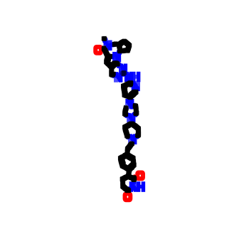 CN(C)C(=O)c1cc2cnc(Nc3ccc(N4CCN(C5CCN(CCc6ccc(C7CCC(=O)NC7=O)cc6)CC5)CC4)cn3)nc2n1C1CCCC1